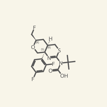 CC(C)(C)N(C(=O)O)C1=N[C@@]2(c3ccc(F)cc3F)CO[C@@H](CF)C[C@H]2CS1